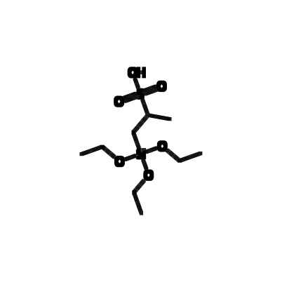 CCO[Si](CC(C)S(=O)(=O)O)(OCC)OCC